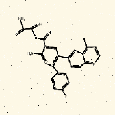 Cc1ccnc2ccc(-c3cc(C(=N)OC(=N)C(N)=O)c(N)nc3-c3ccc(F)cc3)cc12